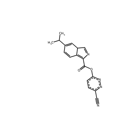 CC(C)C1=CC2C=NC(C(=O)Oc3ccc(C#N)nn3)=C2C=C1